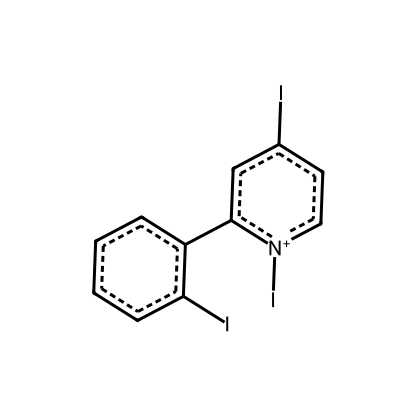 Ic1cc[n+](I)c(-c2ccccc2I)c1